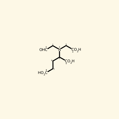 O=CCN(CC(=O)O)C(CCC(=O)O)C(=O)O